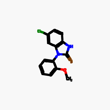 COc1ccccc1-n1c(=S)[nH]c2ccc(Cl)cc21